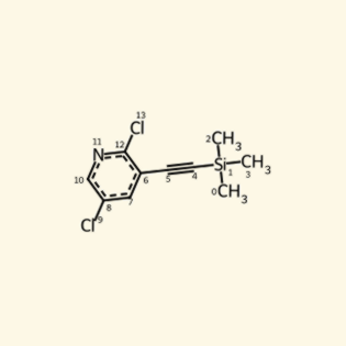 C[Si](C)(C)C#Cc1cc(Cl)cnc1Cl